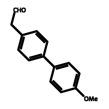 COc1ccc(-c2ccc(CC=O)cc2)cc1